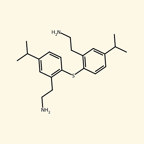 CC(C)c1ccc(Sc2ccc(C(C)C)cc2CCN)c(CCN)c1